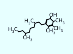 CCCC(C)CCCC(C)CCC1=CC(O)C(C)C(C)=C1C